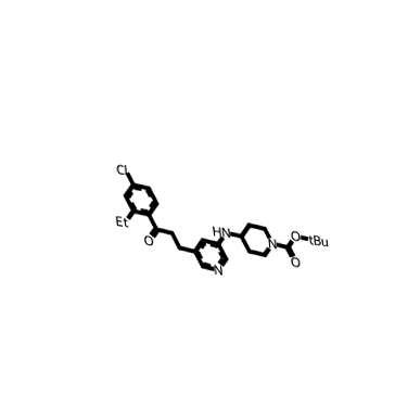 CCc1cc(Cl)ccc1C(=O)CCc1cncc(NC2CCN(C(=O)OC(C)(C)C)CC2)c1